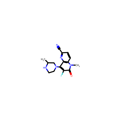 CC1CN(c2c(F)c(=O)n(C)c3ccc(C#N)nc23)CCN1